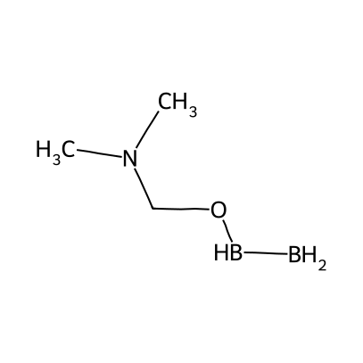 BBOCN(C)C